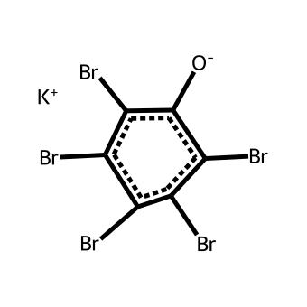 [K+].[O-]c1c(Br)c(Br)c(Br)c(Br)c1Br